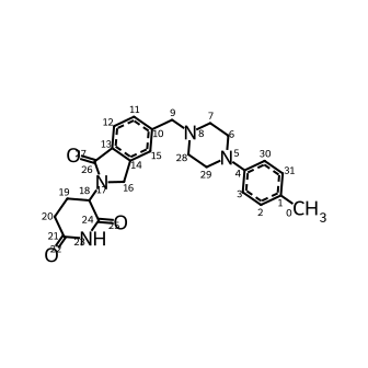 Cc1ccc(N2CCN(Cc3ccc4c(c3)CN(C3CCC(=O)NC3=O)C4=O)CC2)cc1